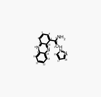 NC(=O)c1cccc2nc3ccccc3nc12.c1cn[nH]c1